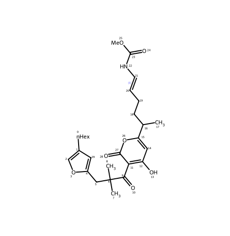 CCCCCCc1coc(CC(C)(C)C(=O)c2c(O)cc(C(C)CC/C=C/NC(=O)OC)oc2=O)c1